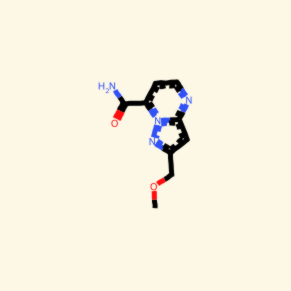 COCc1cc2nccc(C(N)=O)n2n1